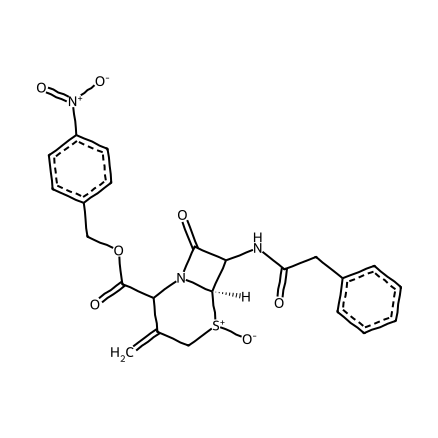 C=C1C[S+]([O-])[C@@H]2C(NC(=O)Cc3ccccc3)C(=O)N2C1C(=O)OCc1ccc([N+](=O)[O-])cc1